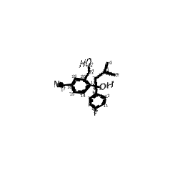 CC(C)CC(O)(c1ccc(F)cc1)c1ccc(C#N)cc1CO